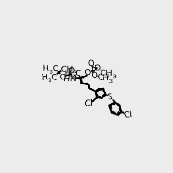 COP(=O)(OC)OC[C@@](C)(CCCc1ccc(Sc2cccc(Cl)c2)cc1Cl)NC(=O)OC(C)(C)C